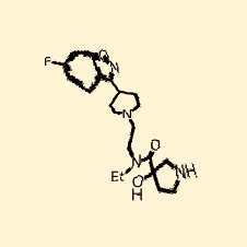 CCN(CCN1CCC(c2noc3cc(F)ccc23)CC1)C(=O)C1(O)CCNC1